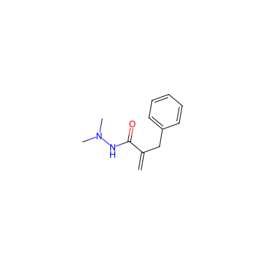 C=C(Cc1ccccc1)C(=O)NN(C)C